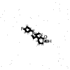 O=C1c2ncc3c(ccn3Cc3ccc(F)cc3)c2C=CCN1O